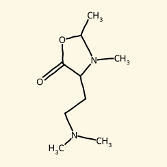 CC1OC(=O)C(CCN(C)C)N1C